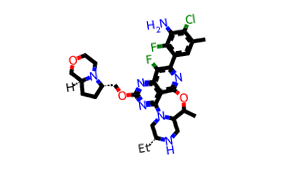 CC[C@@H]1CN2c3nc(OC[C@@H]4CC[C@H]5COCCN54)nc4c(F)c(-c5cc(C)c(Cl)c(N)c5F)nc(c34)OC(C)C2CN1